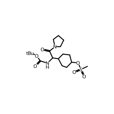 CC(C)(C)OC(=O)NC(C(=O)N1CCCC1)C1CCC(OS(C)(=O)=O)CC1